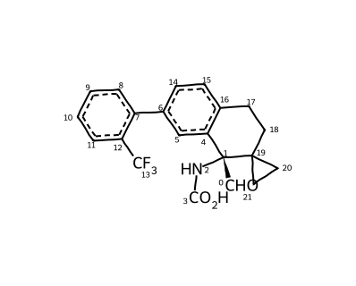 O=C[C@@]1(NC(=O)O)c2cc(-c3ccccc3C(F)(F)F)ccc2CCC12CC2